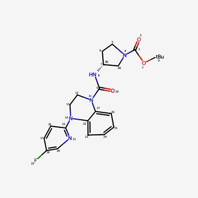 CC(C)(C)OC(=O)N1CC[C@@H](NC(=O)N2CCN(c3ccc(F)cn3)c3ccccc32)C1